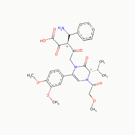 COCC(=O)N1C=C(c2ccc(OC)c(OC)c2)N(CC(=O)[C@@H](C(=O)C(=O)O)C(N)c2ccccc2)C(=O)[C@@H]1C(C)C